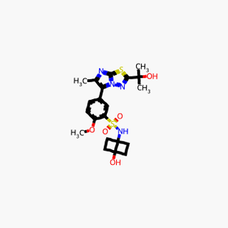 COc1ccc(-c2c(C)nc3sc(C(C)(C)O)nn23)cc1S(=O)(=O)NC12CCC1(O)CC2